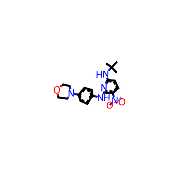 CC(C)(C)Nc1ccc([N+](=O)[O-])c(Nc2ccc(N3CCOCC3)cc2)n1